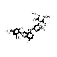 C=C(/C=C(\N=C/N)Nc1ncc(F)c2nn(-c3c(Cl)cc(N)cc3C#N)cc12)N(C(=O)OC(C)(C)C)C(=O)OC(C)(C)C